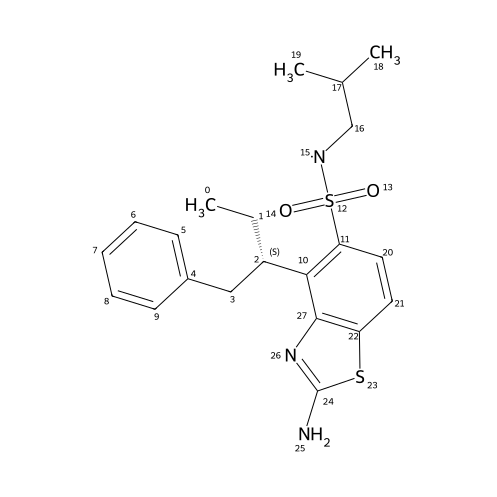 CC[C@@H](Cc1ccccc1)c1c(S(=O)(=O)[N]CC(C)C)ccc2sc(N)nc12